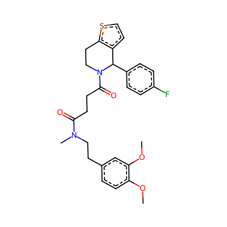 COc1ccc(CCN(C)C(=O)CCC(=O)N2CCc3sccc3C2c2ccc(F)cc2)cc1OC